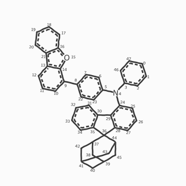 c1ccc(N(c2ccc(-c3cccc4c3oc3ccccc34)cc2)c2cccc3c2-c2ccccc2C32C3CC4CC(C3)CC2C4)cc1